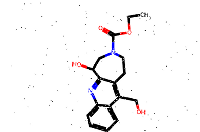 CCOC(=O)N1CCc2c(nc3ccccc3c2CO)C(O)C1